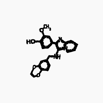 COc1cc(-c2nc3ccccn3c2NCc2ccc3c(c2)OCCO3)ccc1O